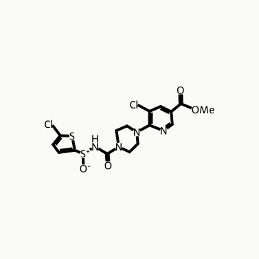 COC(=O)c1cnc(N2CCN(C(=O)N[S+]([O-])c3ccc(Cl)s3)CC2)c(Cl)c1